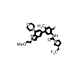 COCCn1cc2cc(-c3cc(NC(=O)N4CC[C@@H](CC(F)(F)F)C4)c(F)cc3C)cc(N3CCOCC3)c2n1